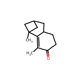 CC1=C2C(CCC1=O)CC1CC2(C)C1